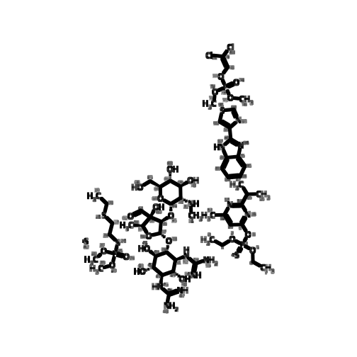 CCOP(=S)(OCC)Oc1cc(C)nc(C(C)C)n1.CCSCCSP(=O)(OC)OC.CN[C@@H]1[C@H](O[C@H]2[C@H](O[C@H]3[C@H](O)[C@@H](O)[C@H](NC(=N)N)[C@@H](O)[C@@H]3NC(=N)N)O[C@@H](C)[C@]2(O)C=O)O[C@@H](CO)[C@H](O)[C@H]1O.COP(=O)(OC)OC=C(Cl)Cl.[S].c1ccc2[nH]c(-c3cscn3)nc2c1